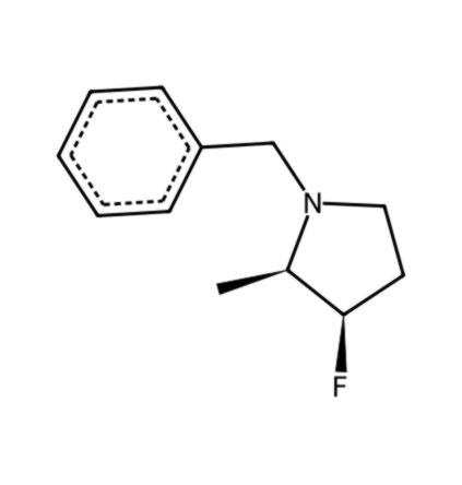 C[C@@H]1[C@H](F)CCN1Cc1ccccc1